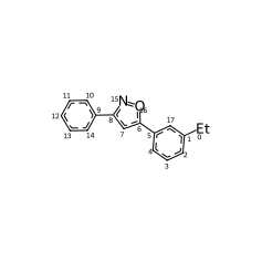 CCc1cccc(-c2cc(-c3ccccc3)no2)c1